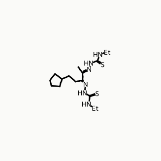 CCNC(=S)N/N=C(C)/C(CCC1CCCC1)=N/NC(=S)NCC